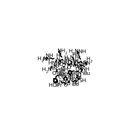 CC[C@H](C)[C@H](NC(=O)[C@H](Cc1ccc(O)cc1)NC(=O)[C@@H](NC(=O)[C@@H](NC(=O)[C@@H]1C[C@@H](O)CN1C(=O)[C@@H](N)C(C)C)[C@@H](C)CC)C(C)(C)S)C(=O)N[C@@H](CC(N)=O)C(=O)N[C@@H](CCCNC(=N)N)C(=O)N[C@@H](CCN)C(=O)N[C@H](C(=O)N[C@H](CCN)C(=O)N[C@@H](CCCCN)C(=O)N[C@@H](CCCNC(=N)N)C(=O)N[C@@H](CCN)C(=O)N[C@@H](CS)C(=O)N[C@@H](Cc1ccc(O)cc1)C(=O)O)[C@@H](C)O